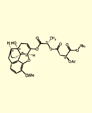 COc1ccc2c3c1O[C@@H]1C(OC(=O)[C@H](C)OC(=O)C[C@H](OC(C)=O)C(=O)OC(C)(C)C)=CC[C@]4(O)[C@@H](CCC[C@@]314)C2